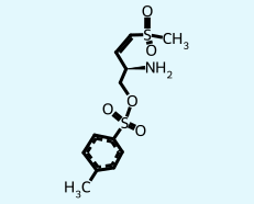 Cc1ccc(S(=O)(=O)OC[C@H](N)/C=C\S(C)(=O)=O)cc1